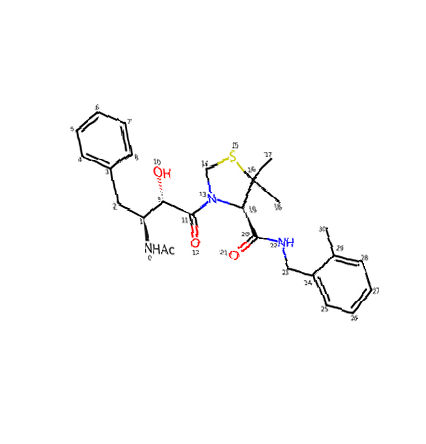 CC(=O)N[C@@H](Cc1ccccc1)[C@H](O)C(=O)N1CSC(C)(C)[C@H]1C(=O)NCc1ccccc1C